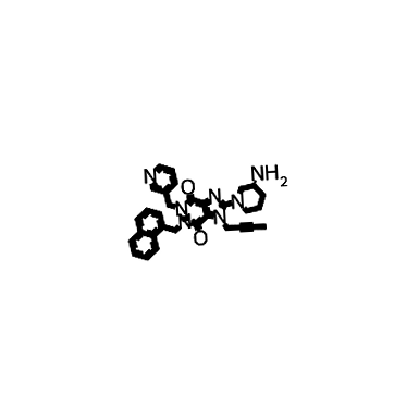 CC#CCn1c(N2CCC[C@@H](N)C2)nc2c(=O)n(Cc3cccnc3)n(Cc3cccc4ccccc34)c(=O)c21